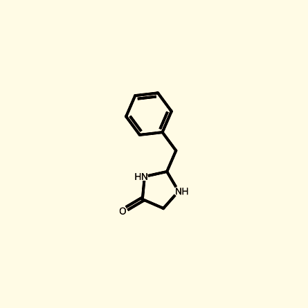 O=C1CNC(Cc2ccccc2)N1